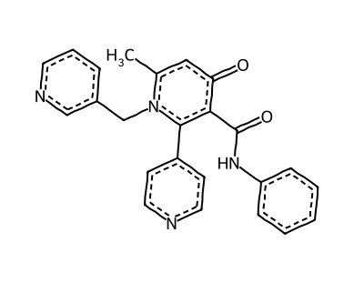 Cc1cc(=O)c(C(=O)Nc2ccccc2)c(-c2ccncc2)n1Cc1cccnc1